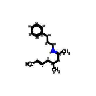 CC=CCC(C)C/C(C)=N/CCCc1ccccc1